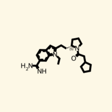 CCn1c(CC[C@@H]2CCCN2C(=O)CC2CCCC2)cc2ccc(C(=N)N)cc21